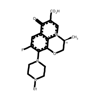 CCN1CCN(c2c(F)cc3c(=O)c(C(=O)O)cn4c3c2OC[C@@H]4C)CC1